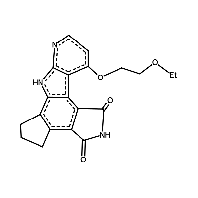 CCOCCOc1ccnc2[nH]c3c4c(c5c(c3c12)C(=O)NC5=O)CCC4